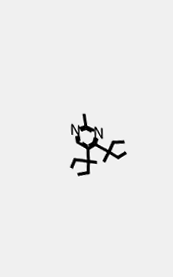 CCC(C)(CC)c1cnc(C)nc1C(C)(CC)CC